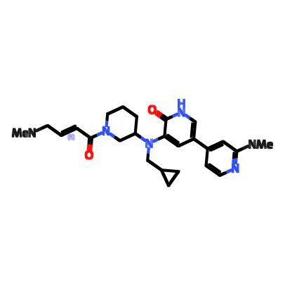 CNC/C=C/C(=O)N1CCCC(N(CC2CC2)c2cc(-c3ccnc(NC)c3)c[nH]c2=O)C1